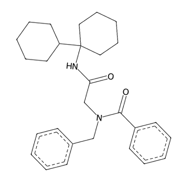 O=C(CN(Cc1ccccc1)C(=O)c1ccccc1)NC1(C2CCCCC2)CCCCC1